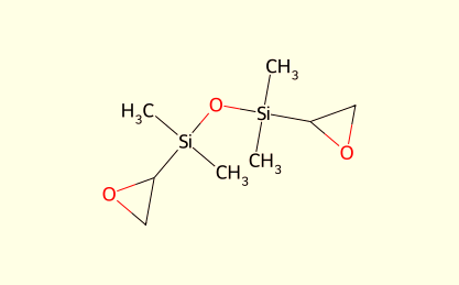 C[Si](C)(O[Si](C)(C)C1CO1)C1CO1